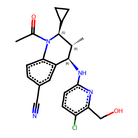 CC(=O)N1c2ccc(C#N)cc2[C@H](Nc2ccc(Cl)c(CO)n2)[C@@H](C)[C@@H]1C1CC1